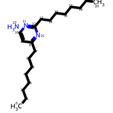 CCCCCCCCc1ccnc(CCCCCCCC)n1.N